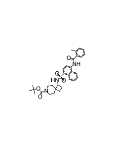 Cc1ccccc1C(=O)Nc1ccc(S(=O)(=O)NC2CCC23CCN(C(=O)OC(C)(C)C)CC3)c2ccccc12